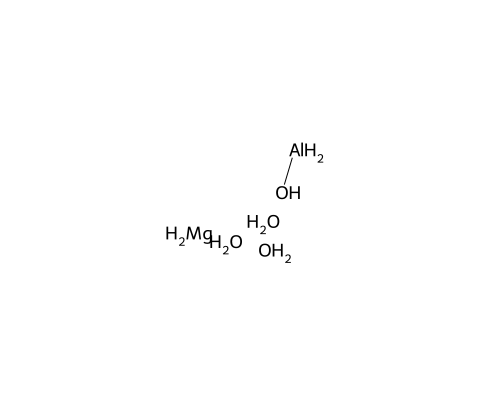 O.O.O.[MgH2].[OH][AlH2]